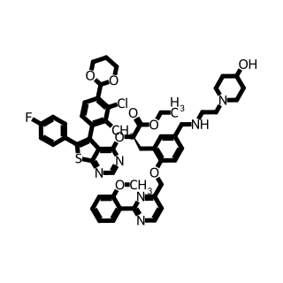 CCOC(=O)[C@@H](Cc1cc(CNCCN2CCC(O)CC2)ccc1OCc1ccnc(-c2ccccc2OC)n1)Oc1ncnc2sc(-c3ccc(F)cc3)c(-c3ccc(C4OCCCO4)c(Cl)c3C)c12